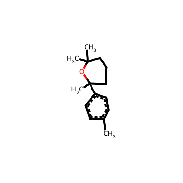 Cc1ccc(C2(C)CCCC(C)(C)O2)cc1